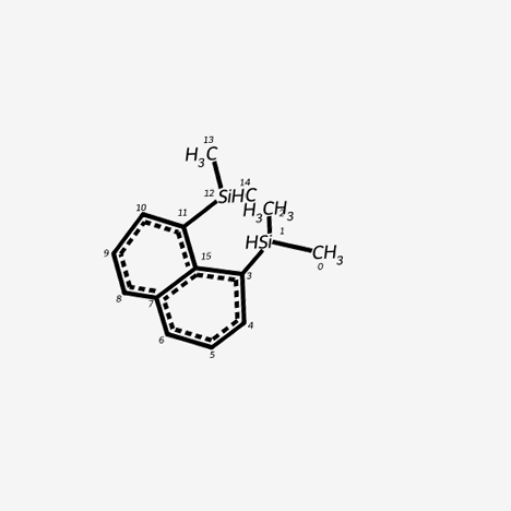 C[SiH](C)c1cccc2cccc([SiH](C)C)c12